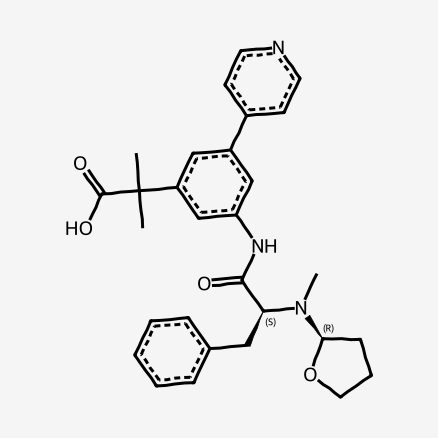 CN([C@H]1CCCO1)[C@@H](Cc1ccccc1)C(=O)Nc1cc(-c2ccncc2)cc(C(C)(C)C(=O)O)c1